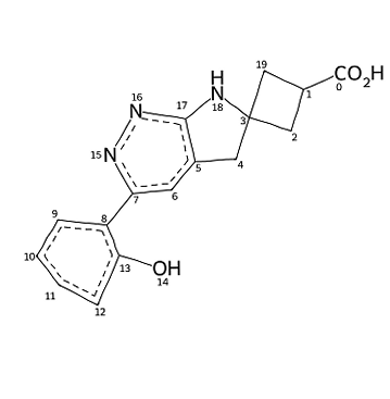 O=C(O)C1CC2(Cc3cc(-c4ccccc4O)nnc3N2)C1